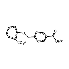 COC(=O)c1ccc(COc2ccccc2C(=O)O)cc1